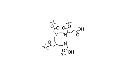 CC(C)(C)OC(=O)CN1CCN(CC(=O)OC(C)(C)C)CCN(C(CCC(=O)O)C(=O)OC(C)(C)C)CCN(CC(O)OC(C)(C)C)CC1